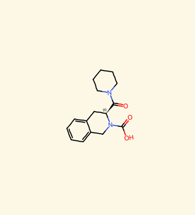 O=C([C@@H]1Cc2ccccc2CN1C(=O)O)N1CCCCC1